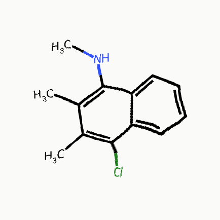 CNc1c(C)c(C)c(Cl)c2ccccc12